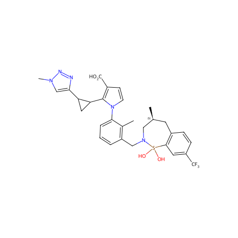 Cc1c(CN2C[C@@H](C)Cc3ccc(C(F)(F)F)cc3S2(O)O)cccc1-n1ccc(C(=O)O)c1C1CC1c1cn(C)nn1